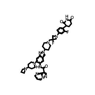 O=C1CCC(c2ccc(N3CC(F)(CN4CCC(n5cc6cc(NC(=O)c7cnn8cccnc78)c(N7CCC(N8CCC8)CC7)cc6n5)CC4)C3)cc2F)C(=O)N1